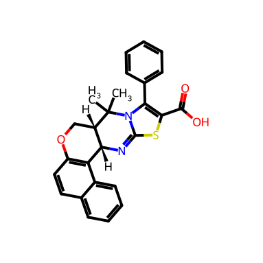 CC1(C)[C@H]2COc3ccc4ccccc4c3[C@H]2N=C2SC(C(=O)O)=C(c3ccccc3)N21